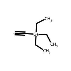 [C]#[C][Ge]([CH2]C)([CH2]C)[CH2]C